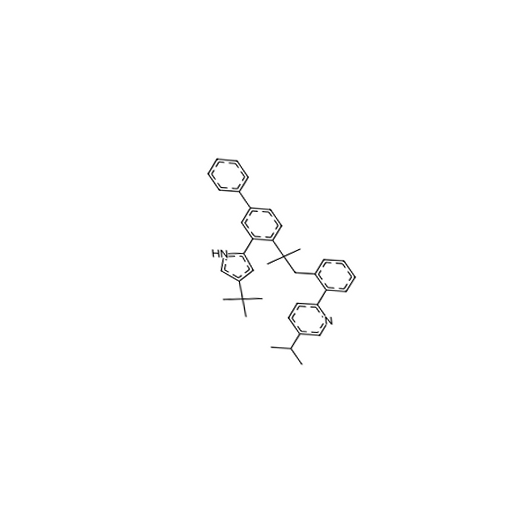 CC(C)c1ccc(-c2ccccc2CC(C)(C)c2ccc(-c3ccccc3)cc2-c2cc(C(C)(C)C)c[nH]2)nc1